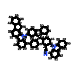 N#Cc1cc([Si](c2ccccc2)(c2ccccc2)c2cccc(-n3c4ccccc4c4ccc5c(c43)Cc3ccccc3-5)c2)ccc1-n1c2ccccc2c2ccccc21